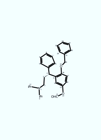 CC(C)N(CC[C@H](c1ccccc1)c1cc(OC=O)ccc1OCc1ccccc1)C(C)C